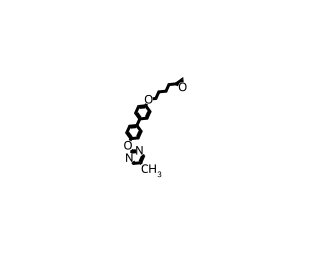 Cc1cnc(Oc2ccc(-c3ccc(OCCCCC4CO4)cc3)cc2)nc1